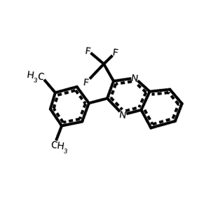 Cc1cc(C)cc(-c2nc3ccccc3nc2C(F)(F)F)c1